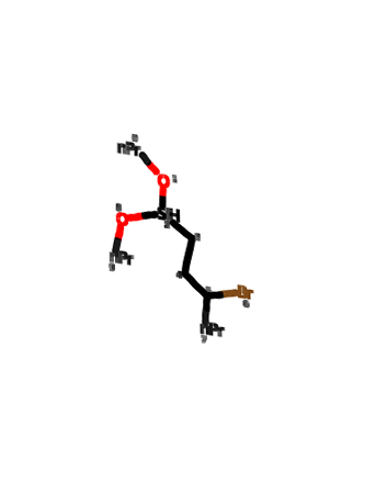 CCCO[SiH](CCC(Br)CCC)OCCC